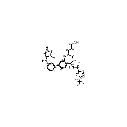 Cc1n[nH]cc1Nc1nccc(-c2ccc3c(c2)CN(CCCO)CCC3NC(=O)c2nnc(C(C)(C)C)o2)n1